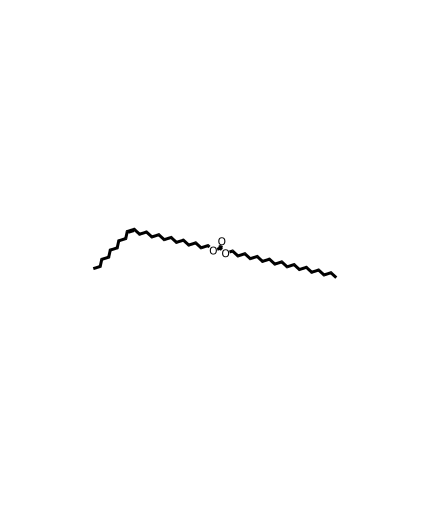 CCCCCCCC/C=C\CCCCCCCCCCCCOC(=O)OCCCCCCCCCCCCCCCCCC